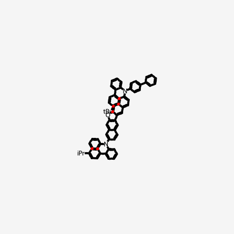 CC(C)c1ccc(-c2ccccc2N(c2ccccc2)c2ccc3cc4c(cc3c2)oc2cc3cc(N(c5ccc(-c6ccccc6)cc5)c5ccccc5-c5ccc(C(C)(C)C)cc5)ccc3cc24)cc1